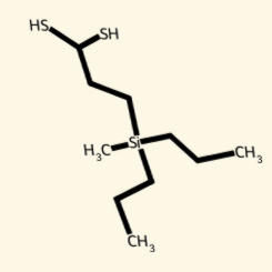 CCC[Si](C)(CCC)CCC(S)S